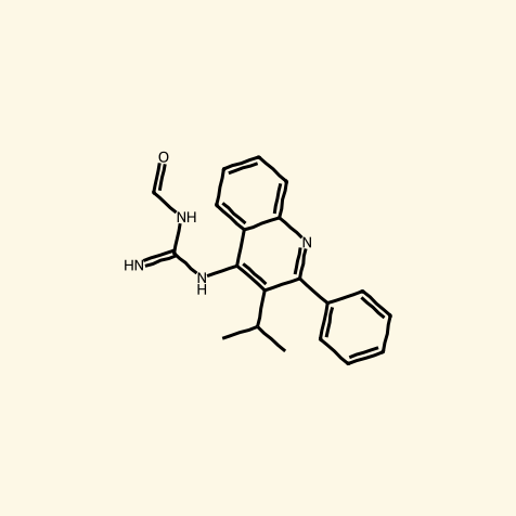 CC(C)c1c(-c2ccccc2)nc2ccccc2c1NC(=N)NC=O